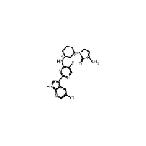 CN1CCN([C@@H]2CCC[C@H](Nc3nc(-c4c[nH]c5ncc(Cl)cc45)ncc3F)C2)C1=O